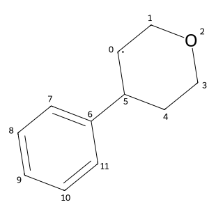 [CH]1COCCC1c1ccccc1